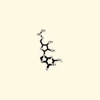 Nc1nc2c(ncn2C2OC(COPO)C(O)C2O)c(=O)[nH]1